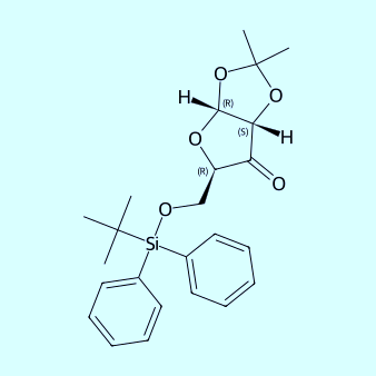 CC1(C)O[C@H]2O[C@H](CO[Si](c3ccccc3)(c3ccccc3)C(C)(C)C)C(=O)[C@H]2O1